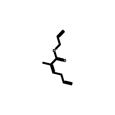 C=CCC=C(C)C(=O)OCC=C